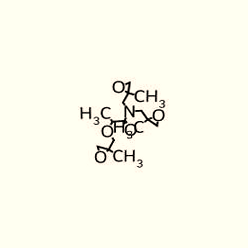 CC(OCC1(C)CO1)C(=O)N(CC1(C)CO1)CC1(C)CO1